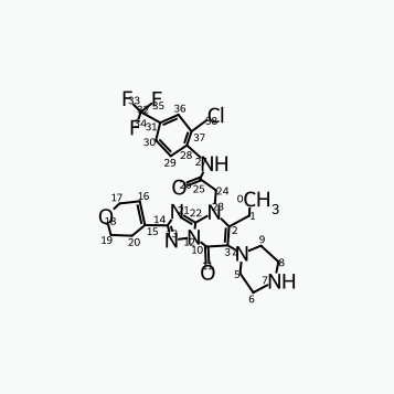 CCc1c(N2CCNCC2)c(=O)n2nc(C3=CCOCC3)nc2n1CC(=O)Nc1ccc(C(F)(F)F)cc1Cl